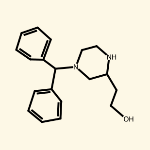 OCCC1CN(C(c2ccccc2)c2ccccc2)CCN1